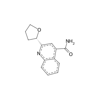 NC(=O)c1cc([C@@H]2CCCO2)nc2ccccc12